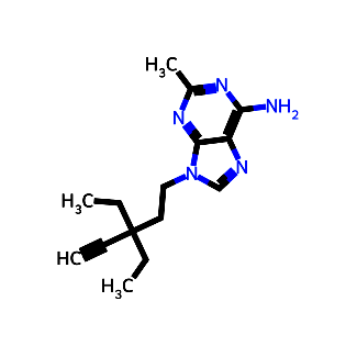 C#CC(CC)(CC)CCn1cnc2c(N)nc(C)nc21